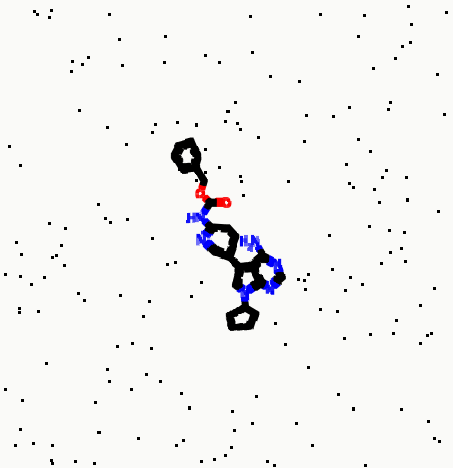 Nc1ncnc2c1c(-c1ccc(NC(=O)OCc3ccccc3)nc1)cn2C1CCCC1